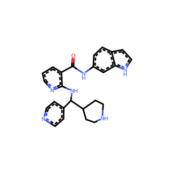 O=C(Nc1ccc2cc[nH]c2c1)c1cccnc1NC(c1ccncc1)C1CCNCC1